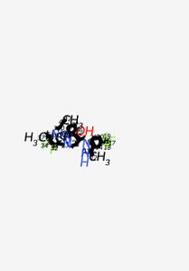 C=C(CN1CCC(CNC2=C(C(C)=N)CC(C(F)(F)F)C=C2)=C(O)C2(CCCC2)N1C)/C(F)=C(F)\C(=C/C)NCCCC